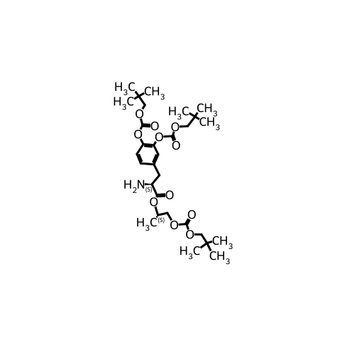 C[C@@H](COC(=O)OCC(C)(C)C)OC(=O)[C@@H](N)Cc1ccc(OC(=O)OCC(C)(C)C)c(OC(=O)OCC(C)(C)C)c1